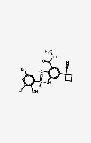 CNC(=O)c1cc(C2(C#N)CCC2)cc(NS(=O)(=O)c2cc(Br)cc(Cl)c2O)c1O